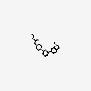 CCOC(=O)CN1CCN(c2cncc(-c3ccc4cnn(C)c4c3)n2)CC1